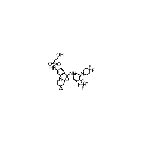 O=C(Nc1ccc(OC(F)(F)F)c(N2CCC(F)(F)CC2)c1)c1ccc(NS(=O)(=O)CCO)cc1N1CCC2(CC1)CC2